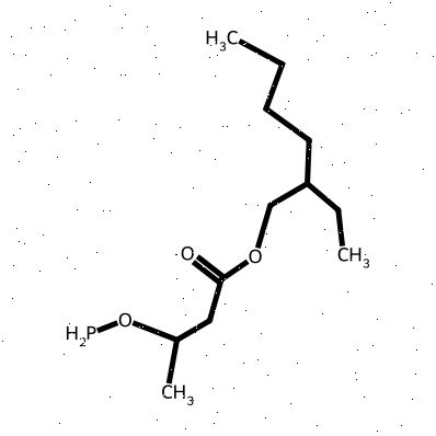 CCCCC(CC)COC(=O)CC(C)OP